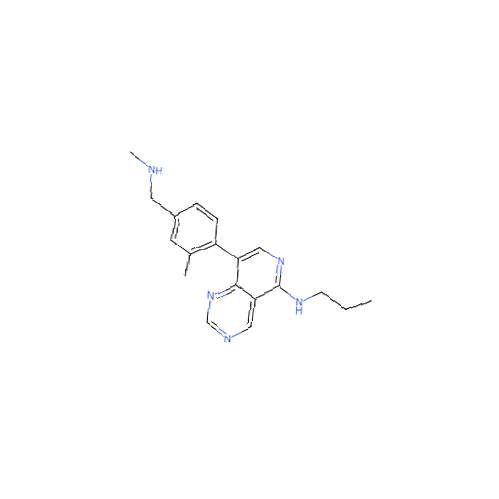 CCCNc1ncc(-c2ccc(CNC)cc2C)c2ncncc12